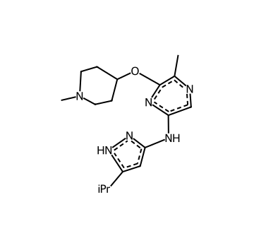 Cc1ncc(Nc2cc(C(C)C)[nH]n2)nc1OC1CCN(C)CC1